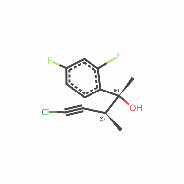 C[C@@H](C#CCl)[C@@](C)(O)c1ccc(F)cc1F